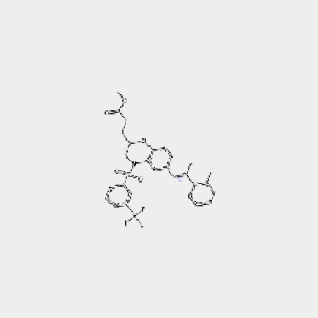 COC(=O)CCC1CN(S(=O)(=O)c2cccc(C(F)(F)F)c2)c2cc(/C=C(\C)c3ccccc3C)ccc2O1